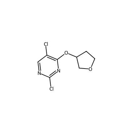 Clc1ncc(Cl)c(OC2CCOC2)n1